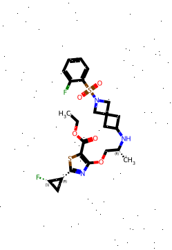 CCOC(=O)c1sc([C@@H]2C[C@@H]2F)nc1OC[C@@H](C)NC1CC2(C1)CN(S(=O)(=O)c1ccccc1F)C2